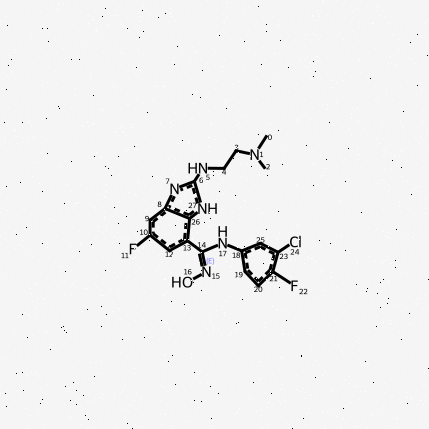 CN(C)CCNc1nc2cc(F)cc(/C(=N\O)Nc3ccc(F)c(Cl)c3)c2[nH]1